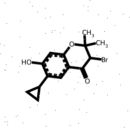 CC1(C)Oc2cc(O)c(C3CC3)cc2C(=O)C1Br